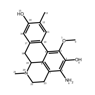 COc1c(O)c(N)c2c3c1-c1cc(C)c(O)cc1CC3N(C)CC2